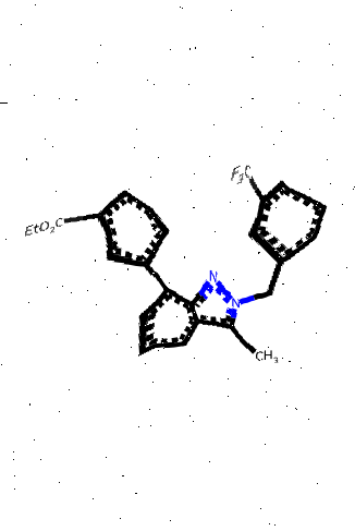 CCOC(=O)c1cccc(-c2cccc3c(C)n(Cc4cccc(C(F)(F)F)c4)nc23)c1